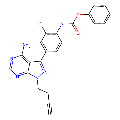 C#CCCn1nc(-c2ccc(NC(=O)Oc3ccccc3)c(F)c2)c2c(N)ncnc21